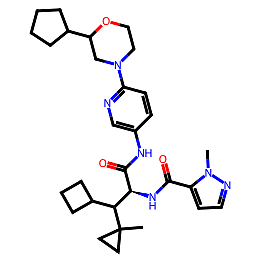 Cn1nccc1C(=O)N[C@H](C(=O)Nc1ccc(N2CCOC(C3CCCC3)C2)nc1)C(C1CCC1)C1(C)CC1